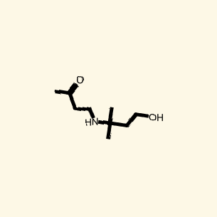 CC(=O)CCNC(C)(C)CCO